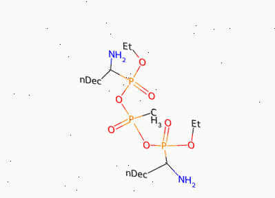 CCCCCCCCCCC(N)P(=O)(OCC)OP(C)(=O)OP(=O)(OCC)C(N)CCCCCCCCCC